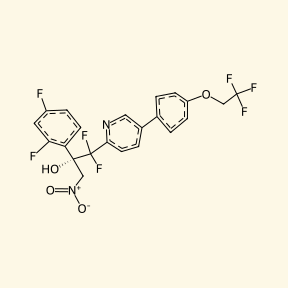 O=[N+]([O-])C[C@@](O)(c1ccc(F)cc1F)C(F)(F)c1ccc(-c2ccc(OCC(F)(F)F)cc2)cn1